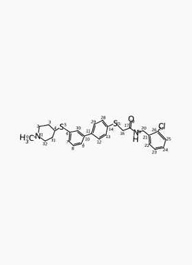 CN1CCC(Sc2cc[c]c(-c3ccc(SCC(=O)NCc4ccccc4Cl)cc3)c2)CC1